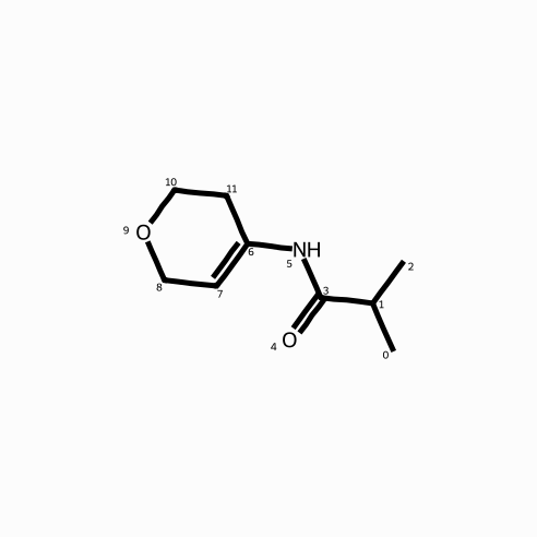 CC(C)C(=O)NC1=CCOCC1